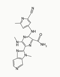 CNc1nc(Nc2cc(C)nc(C#N)c2)c(C(N)=O)nc1-c1nc2ccncc2n1C